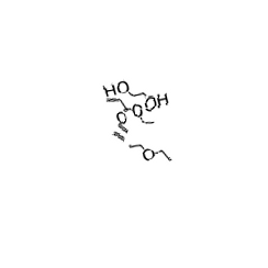 C=C.C=C.C=CC(=O)OCC.CCOCC.OCCO